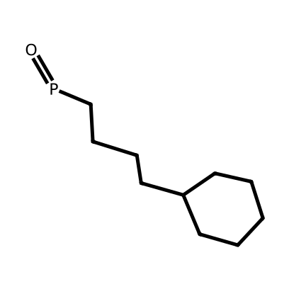 O=PCCCCC1CCCCC1